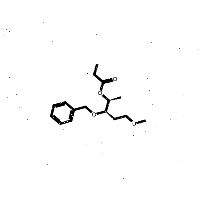 CCC(=O)O[C@@H](C)[C@@H](CCOC)OCc1ccccc1